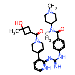 CN1CCC(N(C)C(=O)c2ccc(NC(=N)/N=c3\[nH]cccc3C3=CCN(C(=O)C4CC(C)(O)C4)CC3)cc2)CC1